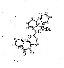 CC(C)(C)[Si](OCC1CSC2=C(O1)c1ccccc1C(=O)C2=O)(c1ccccc1)c1ccccc1